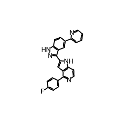 Fc1ccc(-c2nccc3[nH]c(-c4n[nH]c5ccc(-c6ccccn6)cc45)cc23)cc1